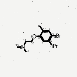 Cc1cc(Br)c(C(C)C)cc1OCCN(C)C